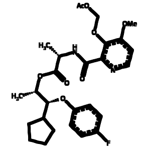 COc1ccnc(C(=O)N[C@@H](C)C(=O)O[C@@H](C)[C@H](Oc2ccc(F)cc2)C2CCCC2)c1OCOC(C)=O